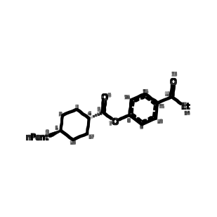 CCCCC[C@H]1CC[C@H](C(=O)Oc2ccc(C(=O)CC)cc2)CC1